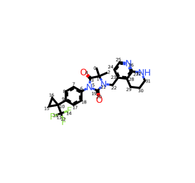 CC1(C)C(=O)N(c2ccc(C3(C(F)(F)F)CC3)cc2)C(=O)N1Cc1ccnc2c1CCCN2